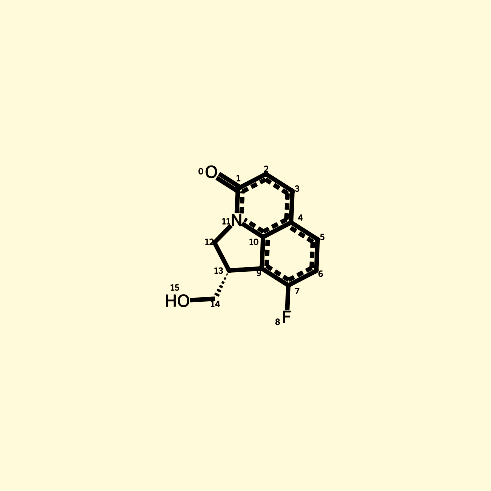 O=c1ccc2ccc(F)c3c2n1C[C@H]3CO